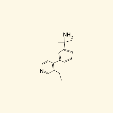 CCc1cnccc1-c1cccc(C(C)(C)N)c1